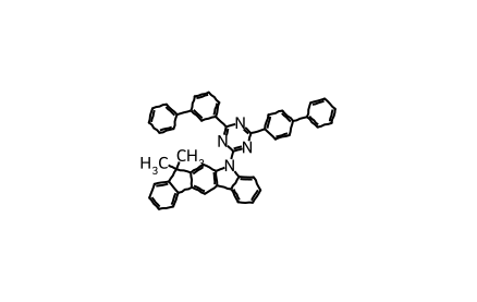 CC1(C)c2ccccc2-c2cc3c4ccccc4n(-c4nc(-c5ccc(-c6ccccc6)cc5)nc(-c5cccc(-c6ccccc6)c5)n4)c3cc21